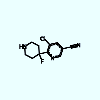 N#Cc1cnc(C2(F)CCNCC2)c(Cl)c1